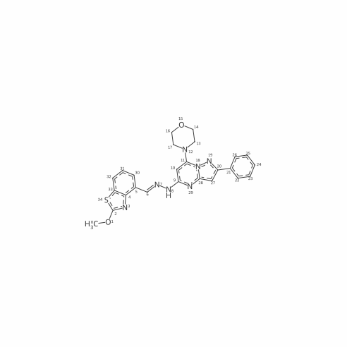 COc1nc2c(C=NNc3cc(N4CCOCC4)n4nc(-c5ccccc5)cc4n3)cccc2s1